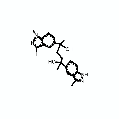 Cn1nc(I)c2cc(C(C)(O)CCC(C)(O)c3ccc4[nH]nc(I)c4c3)ccc21